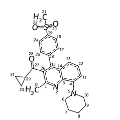 Cc1nc2c(N3CCCCC3)cccc2c(-c2ccc(S(C)(=O)=O)cc2)c1C(=O)C1CC1